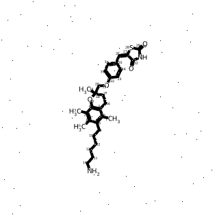 Cc1c(C)c2c(c(C)c1CCCCCCN)CCC(C)(COc1ccc(C=C3SC(=O)NC3=O)cc1)O2